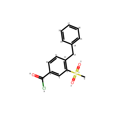 CS(=O)(=O)c1cc(C(=O)Cl)ccc1Cc1ccccc1